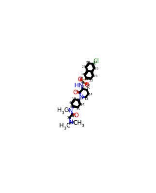 CN(C)CC(=O)N(C)c1ccc(N2CCCC(NS(=O)(=O)c3ccc4cc(Cl)ccc4c3)C2=O)cc1